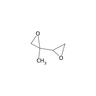 CC1(C2CO2)CO1